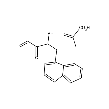 C=C(C)C(=O)O.C=CC(=O)C(Cc1cccc2ccccc12)C(C)=O